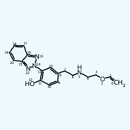 C=COCCNCCc1ccc(O)c(-n2nc3ccccc3n2)c1